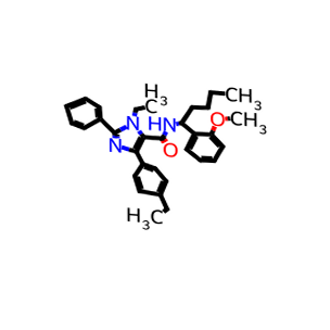 CCCCC(NC(=O)c1c(-c2ccc(CC)cc2)nc(-c2ccccc2)n1CC)c1ccccc1OC